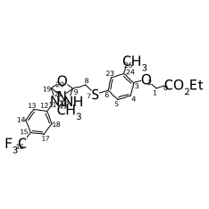 CCOC(=O)COc1ccc(SCC23NN(c4ccc(C(F)(F)F)cc4)C(O2)N3C)cc1C